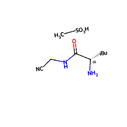 CCC(C)[C@H](N)C(=O)NCC#N.CS(=O)(=O)O